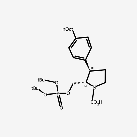 CCCCCCCCc1ccc([C@H]2CCN(C(=O)O)[C@@H]2COP(=O)(OC(C)(C)C)OC(C)(C)C)cc1